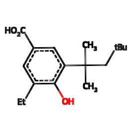 CCc1cc(C(=O)O)cc(C(C)(C)CC(C)(C)C)c1O